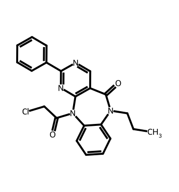 CCCN1C(=O)c2cnc(-c3ccccc3)nc2N(C(=O)CCl)c2ccccc21